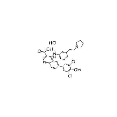 CC(=O)c1cnc2ccc(-c3cc(Cl)c(O)c(Cl)c3)cc2c1Nc1cccc(CCN2CCCC2)c1.Cl